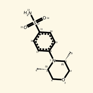 C[C@@H]1COC[C@H](C)N1c1ccc(S(N)(=O)=O)cc1